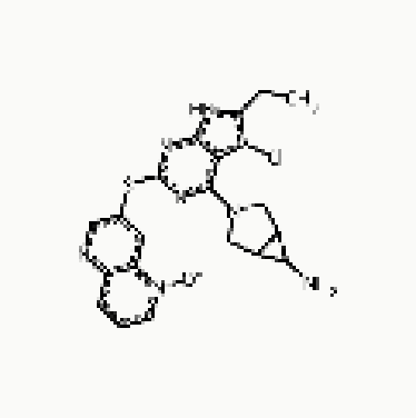 CCc1[nH]c2nc(Sc3cnc4ccc[n+]([O-])c4c3)nc(N3CC4C(N)C4C3)c2c1Cl